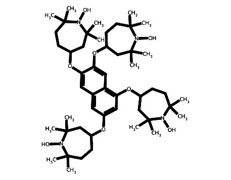 CC1(C)CCC(Oc2cc(OC3CCC(C)(C)N(O)C(C)(C)C3)c3cc(OC4CCC(C)(C)N(O)C(C)(C)C4)c(OC4CCC(C)(C)N(O)C(C)(C)C4)cc3c2)CC(C)(C)N1O